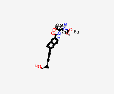 COC(=O)[C@@H](NC(=O)c1ccc2cc(C#CC#C[C@H]3C[C@@H]3CO)ccc2c1)C(C)(C)NC(=O)OC(C)(C)C